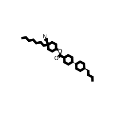 CCCCCCCC1(C#N)CCC(OC(=O)C2CCC([C@H]3CC[C@H](CCCC)CC3)CC2)CC1